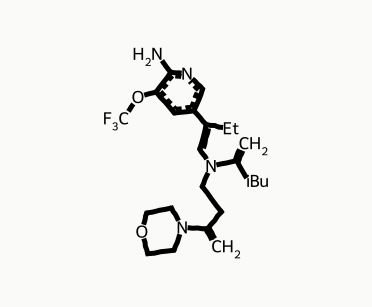 C=C(C(C)CC)N(/C=C(\CC)c1cnc(N)c(OC(F)(F)F)c1)CCC(=C)N1CCOCC1